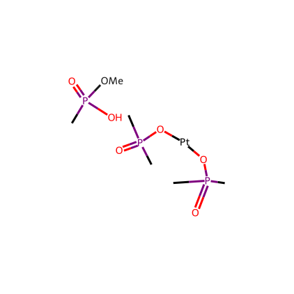 COP(C)(=O)O.CP(C)(=O)[O][Pt][O]P(C)(C)=O